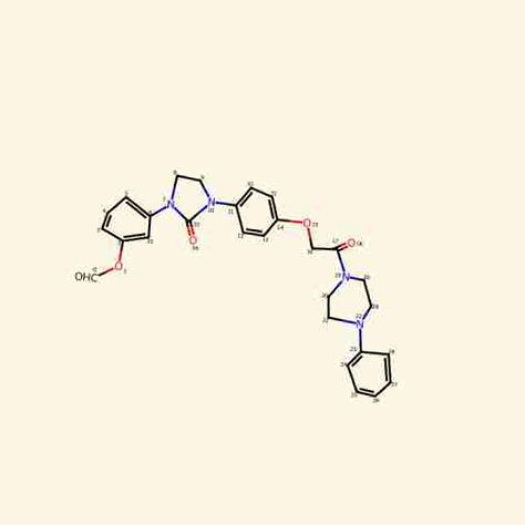 O=COc1cccc(N2CCN(c3ccc(OCC(=O)N4CCN(c5ccccc5)CC4)cc3)C2=O)c1